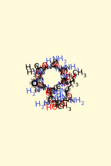 CCCCCCCC[C@H](N)C(=O)N[C@@H](CCN)C(=O)N[C@H](C(=O)N[C@@H](CCN)C(=O)N[C@H]1CCNC(=O)[C@H]([C@@H](C)O)NC(=O)[C@H](CCN)NC(=O)[C@H](CCN)NC(=O)[C@H](CC(C)C)NC(=O)[C@@H](Cc2ccccc2)NC(=O)[C@H](CCN)NC1=O)[C@@H](C)O